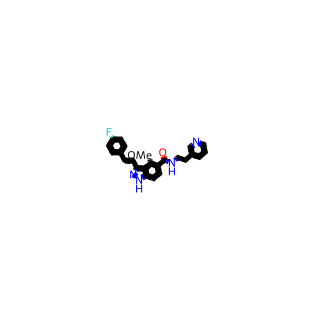 COc1c(C(=O)NCCc2cccnc2)ccc2[nH]nc(/C=C/c3ccc(F)cc3)c12